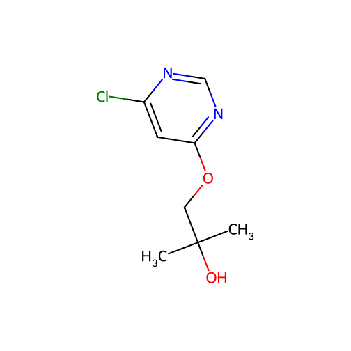 CC(C)(O)COc1cc(Cl)ncn1